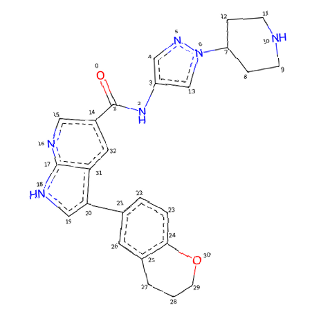 O=C(Nc1cnn(C2CCNCC2)c1)c1cnc2[nH]cc(-c3ccc4c(c3)CCCO4)c2c1